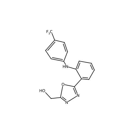 OCc1nnc(-c2ccccc2Nc2ccc(C(F)(F)F)cc2)o1